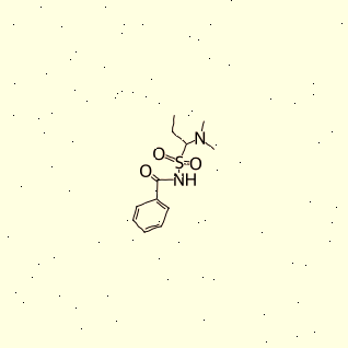 CCC(N(C)C)S(=O)(=O)NC(=O)c1ccccc1